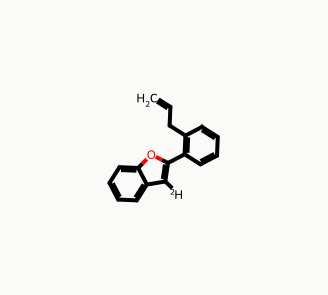 [2H]c1c(-c2ccc[c]c2CC=C)oc2ccccc12